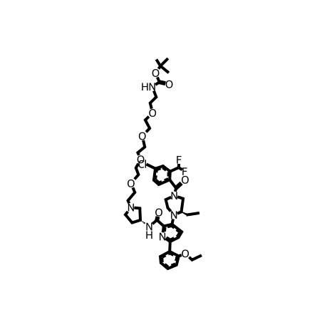 CCOc1ccccc1-c1ccc(N2CCN(C(=O)c3ccc(Cl)cc3C(F)F)C[C@H]2CC)c(C(=O)N[C@@H]2CCN(CCOCCOCCOCCOCCNC(=O)OC(C)(C)C)C2)n1